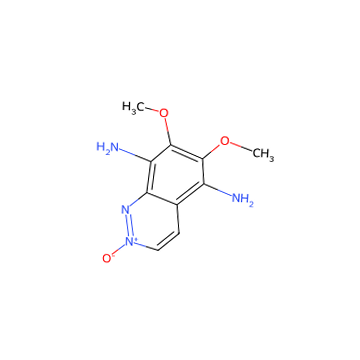 COc1c(OC)c(N)c2n[n+]([O-])ccc2c1N